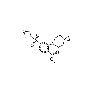 COC(=O)c1ccc(S(=O)(=O)C2COC2)cc1N1CCC2(CC1)CC2